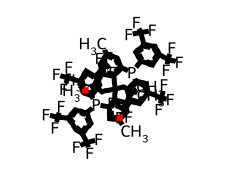 Cc1cc(P(c2cc(C(F)(F)F)cc(C(F)(F)F)c2)c2cc(C(F)(F)F)cc(C(F)(F)F)c2)c2c(c1)C(C)(C)CC21CC(C)(C)c2cc(C)cc(P(c3cc(C(F)(F)F)cc(C(F)(F)F)c3)c3cc(C(F)(F)F)cc(C(F)(F)F)c3)c21